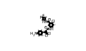 Nc1ccc([C@H]2[C@H](C(=O)Nc3ccc(Cl)c(C(=O)NC4CC(F)(F)C4)c3)C2(Cl)Cl)cc1